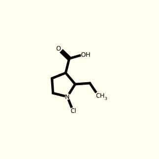 CCC1C(C(=O)O)CCN1Cl